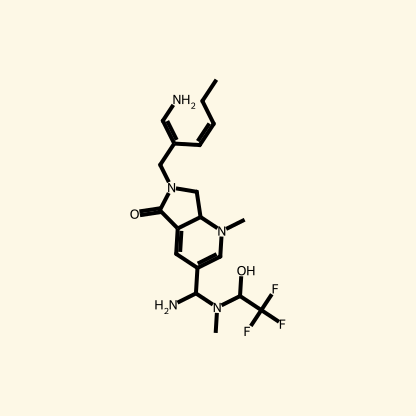 CC/C=C\C(=C/N)CN1CC2C(=CC(C(N)N(C)C(O)C(F)(F)F)=CN2C)C1=O